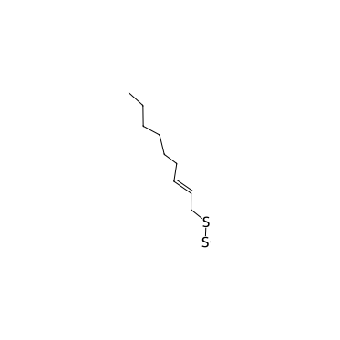 CCCCCCC=CCS[S]